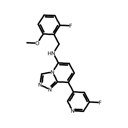 COc1cccc(F)c1CNc1ccc(-c2cncc(F)c2)c2nncn12